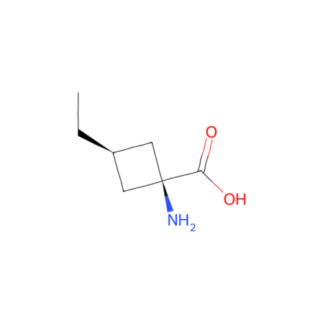 CC[C@H]1C[C@](N)(C(=O)O)C1